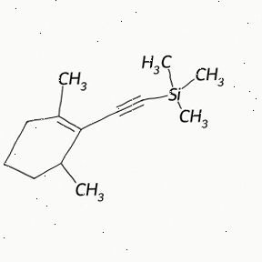 CC1=C(C#C[Si](C)(C)C)C(C)CCC1